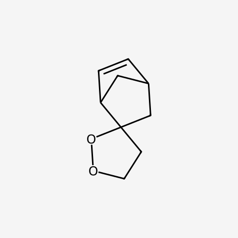 C1=CC2CC1CC21CCOO1